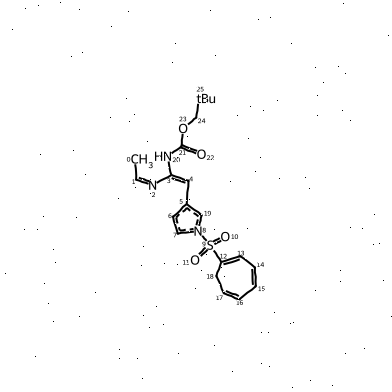 C/C=N\C(=C/c1ccn(S(=O)(=O)C2=CC=CC=CC2)c1)NC(=O)OCC(C)(C)C